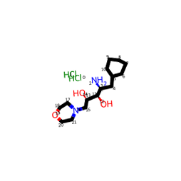 Cl.Cl.N[C@@H](CC1CCCCC1)[C@@H](O)[C@@H](O)CN1CCOCC1